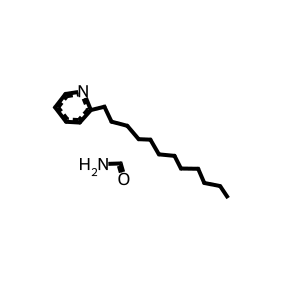 CCCCCCCCCCCCc1ccccn1.NC=O